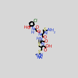 Cn1nnnc1SCC1=C(C(=O)O)N2C(=O)C(NC(=O)C(=NOCC(=O)Nc3cc(Cl)ccc3O)c3csc(N)n3)[C@@H]2SC1